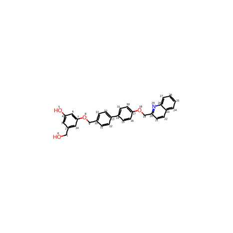 OCc1cc(O)cc(OCc2ccc(-c3ccc(OCc4ccc5ccccc5n4)cc3)cc2)c1